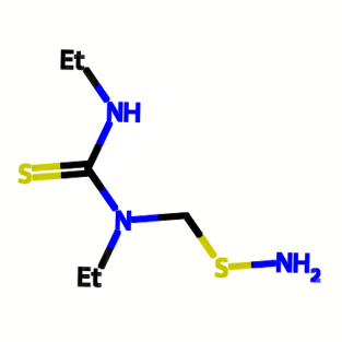 CCNC(=S)N(CC)CSN